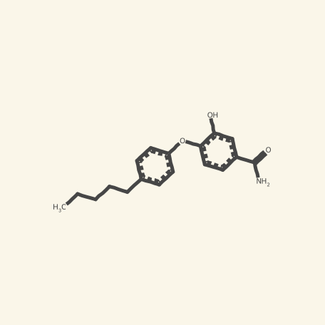 CCCCCc1ccc(Oc2ccc(C(N)=O)cc2O)cc1